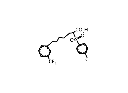 O=C(O)C(CCCCCc1cccc(C(F)(F)F)c1)S(=O)(=O)c1ccc(Cl)cc1